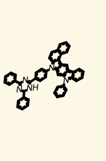 c1ccc(C2=NC(c3ccccc3)NC(c3ccc(-n4c5cc6c(cc5c5c7ccccc7ccc54)c4ccccc4n6-c4ccccc4)cc3)=N2)cc1